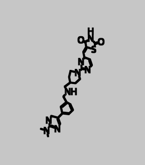 CN(C)c1ncc(-c2cccc(CNCC3CCN(c4nccc(/C=C5\SC(=O)NC5=O)n4)CC3)c2)cn1